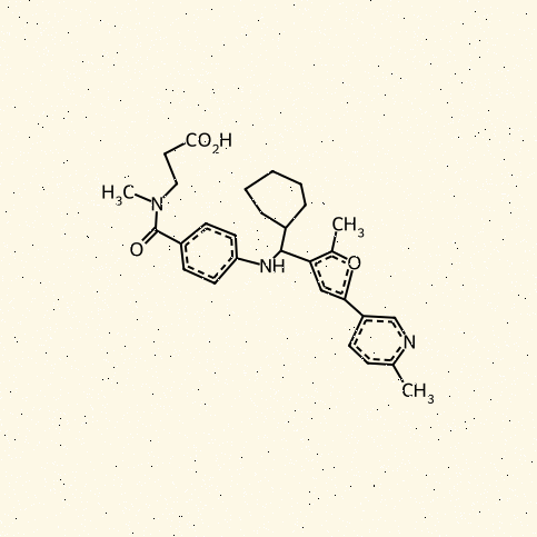 Cc1ccc(-c2cc(C(Nc3ccc(C(=O)N(C)CCC(=O)O)cc3)C3CCCCC3)c(C)o2)cn1